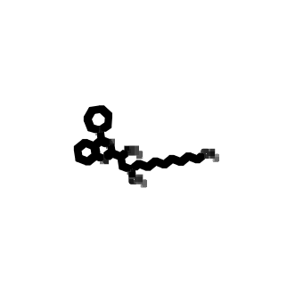 CCCCCCCCCN(C)CC(N)c1nc2c(c(N3CCCCCC3)n1)CCCC2